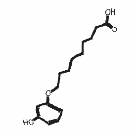 O=C(O)CCCCCCCCOc1cccc(O)c1